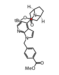 COC(=O)c1ccc(Cn2ccc3c(N4C[C@H]5CC[C@@H](C4)N5C(=O)OC(C)(C)C)ccnc32)cc1